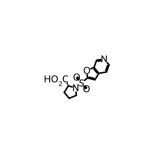 O=C(O)[C@@H]1CCCN1S(=O)(=O)c1cc2ccncc2o1